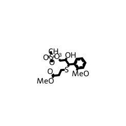 COC(=O)CCSC(c1ccccc1OC)C(O)COS(C)(=O)=O